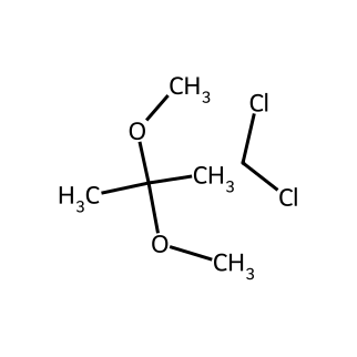 COC(C)(C)OC.ClCCl